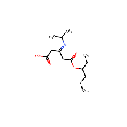 CCCC(CC)OC(=O)CC(CC(=O)O)=NC(C)C